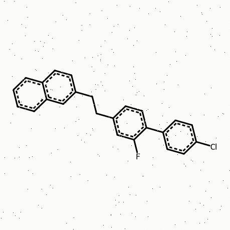 Fc1cc(CCc2ccc3ccccc3c2)ccc1-c1ccc(Cl)cc1